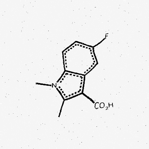 Cc1c(C(=O)O)c2cc(F)ccc2n1C